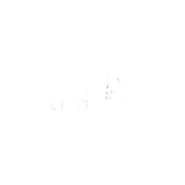 CCOC(=O)N(C1CCN(CCc2cccs2)CC1)n1cccc1